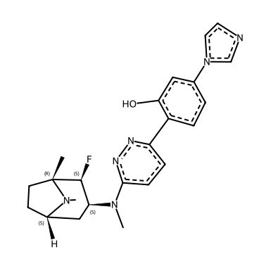 CN(c1ccc(-c2ccc(-n3ccnc3)cc2O)nn1)[C@H]1C[C@@H]2CC[C@](C)([C@H]1F)N2C